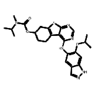 CC(C)Oc1cc2[nH]ncc2cc1Nc1ncnc2sc3c(c12)CCC(OC(=O)N(C)C(C)C)C3